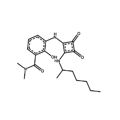 CCCCCC(C)Nc1c(Nc2cccc(C(=O)N(C)C)c2O)c(=O)c1=O